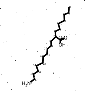 CCCCCCCC(CCCCCCCCCCN)C(=O)O